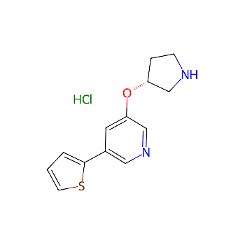 Cl.c1csc(-c2cncc(O[C@@H]3CCNC3)c2)c1